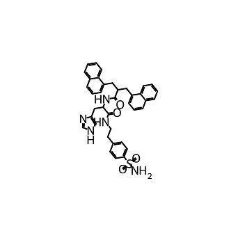 NS(=O)(=O)c1ccc(CCNC(=O)C(Cc2c[nH]cn2)NC(=O)C(Cc2cccc3ccccc23)Cc2cccc3ccccc23)cc1